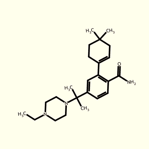 CCN1CCN(C(C)(C)c2ccc(C(N)=O)c(C3=CCC(C)(C)CC3)c2)CC1